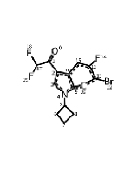 O=C(c1cn(C2CCC2)c2cc(Br)c(F)cc12)C(F)F